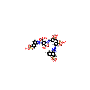 O=C(O)c1cc(-n2n3c4ccc5cc(S(=O)(=O)O)ccc5c4n23)c(C(=O)O)cc1N=Nc1ccc(/C=C\c2ccc(-n3n4c5cc(S(=O)(=O)O)c6ccccc6c5n34)cc2S(=O)(=O)O)c(S(=O)(=O)O)c1